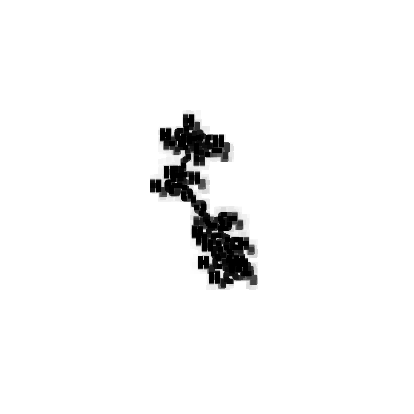 CCC(C)(NCCCC[C@H](NC(C)(C)C)C(=O)C(C)(C)C)C(=O)COCCOCCNC(C)(CC)C(=O)C(C)CC(C)(C)NC(=O)C(C)(C)CC(C)(C)C